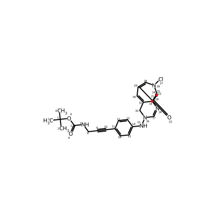 CC(C)(C)OC(=O)NCC#Cc1ccc(NN2C=NC34CC(=O)CC=C3N(Cl)C=CC=C4C2)cc1